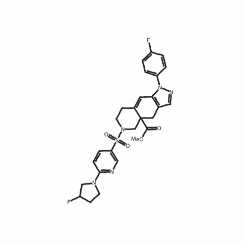 COC(=O)C12Cc3cnn(-c4ccc(F)cc4)c3C=C1CCN(S(=O)(=O)c1ccc(N3CCC(F)C3)nc1)C2